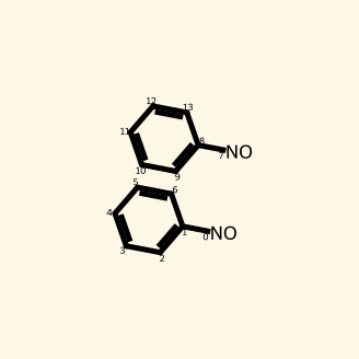 O=Nc1ccccc1.O=Nc1ccccc1